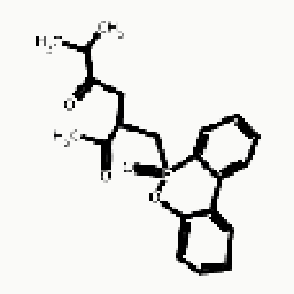 CC(=O)C(CC(=O)C(C)C)CP1(=O)Oc2ccccc2-c2ccccc21